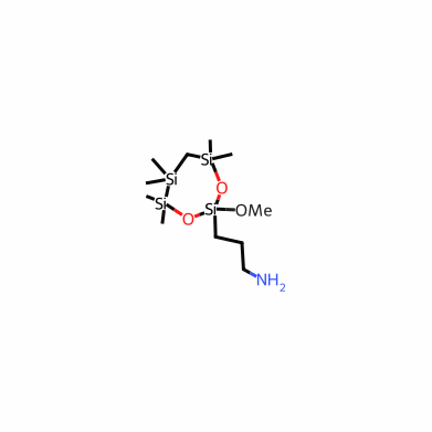 CO[Si]1(CCCN)O[Si](C)(C)C[Si](C)(C)[Si](C)(C)O1